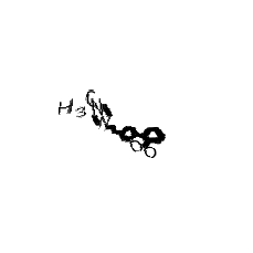 CN1CCN(CCCc2ccc3c(c2)oc(=O)c2ccccc23)CC1